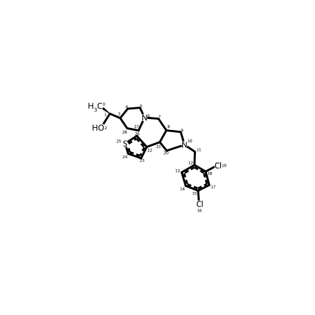 C[C@H](O)C1CCN(CC2CN(Cc3ccc(Cl)cc3Cl)CC2c2ccsc2)CC1